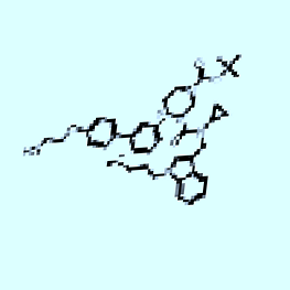 COCCCn1cc(CN(C(=O)[C@H]2CN(C(=O)OC(C)(C)C)CC[C@@H]2c2cccc(-c3ccc(OCCO)cc3)c2)C2CC2)c2ccccc21